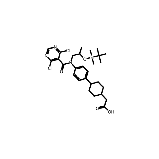 CC(CN(C(=O)c1c(Cl)ncnc1Cl)c1ccc(C2CCC(CC(=O)O)CC2)cc1)O[Si](C)(C)C(C)(C)C